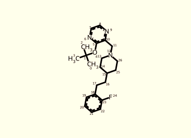 CC(C)(C)Oc1nccnc1CN1CCC(CCc2ccccc2F)CC1